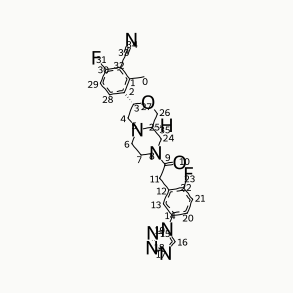 Cc1c([C@H]2CN3CCN(C(=O)Cc4cc(-n5cnnn5)ccc4F)C[C@@H]3CO2)ccc(F)c1C#N